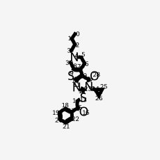 CCCCN1CCc2c(sc3nc(SCC(=O)c4ccccc4)n(C4CC4)c(=O)c23)C1